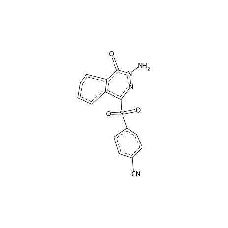 N#Cc1ccc(S(=O)(=O)c2nn(N)c(=O)c3ccccc23)cc1